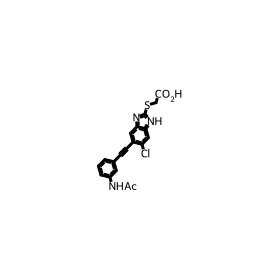 CC(=O)Nc1cccc(C#Cc2cc3nc(SCC(=O)O)[nH]c3cc2Cl)c1